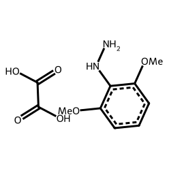 COc1cccc(OC)c1NN.O=C(O)C(=O)O